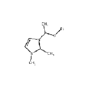 CCOC(C)N1C=CN(C)C1C